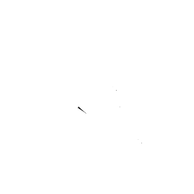 CN(C(=O)c1ccccc1)[C@@H]1CN(C(=O)O)CC(C(C)(C)C)O[C@H]1c1ccc(Cl)c(Cl)c1